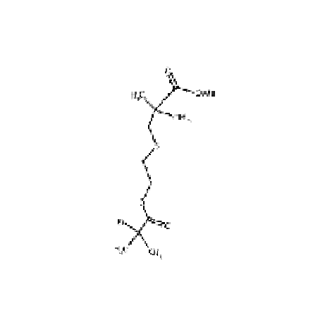 CCC(C)(C)C(=O)OCCSCC(C)(C)C(=O)OC